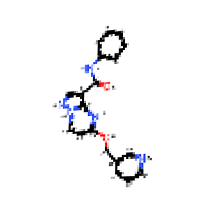 O=C(Nc1ccccc1)c1cnn2ccc(OCc3cccnc3)nc12